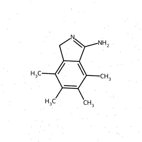 Cc1c(C)c(C)c2c(c1C)CN=C2N